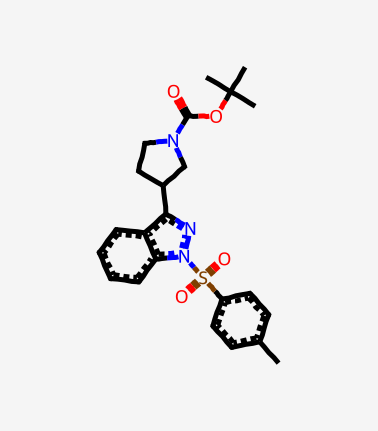 Cc1ccc(S(=O)(=O)n2nc(C3CCN(C(=O)OC(C)(C)C)C3)c3ccccc32)cc1